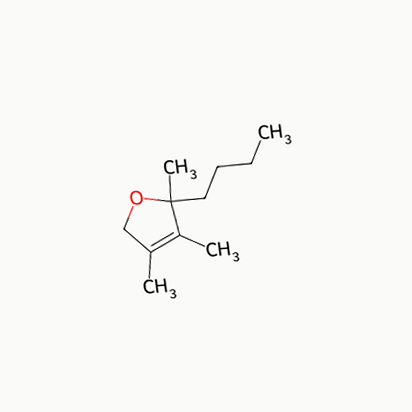 CCCCC1(C)OCC(C)=C1C